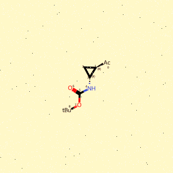 CC(=O)[C@@H]1C[C@H]1NC(=O)OC(C)(C)C